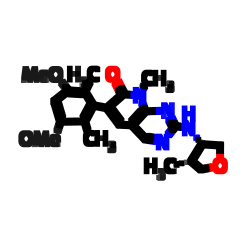 COc1cc(OC)c(C)c(-c2cc3cnc(N[C@@H]4COC[C@@H]4C)nc3n(C)c2=O)c1C